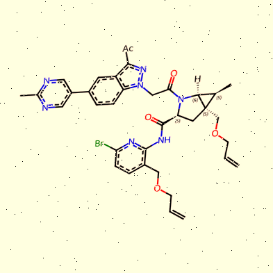 C=CCOCc1ccc(Br)nc1NC(=O)[C@@H]1C[C@]2(COCC=C)[C@H](C)[C@@H]2N1C(=O)Cn1nc(C(C)=O)c2cc(-c3cnc(C)nc3)ccc21